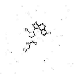 CC[C@@H]1C[C@@H](C(=O)NCC(F)(F)F)C[C@@H]1c1nnc2cnc3[nH]ccc3n12